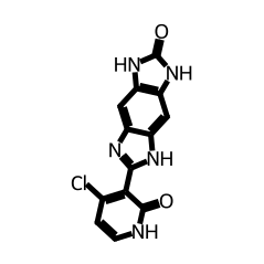 O=c1[nH]c2cc3nc(-c4c(Cl)cc[nH]c4=O)[nH]c3cc2[nH]1